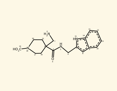 NCC1(C(=O)NCc2cc3ccccc3[nH]2)CCN(C(=O)O)CC1